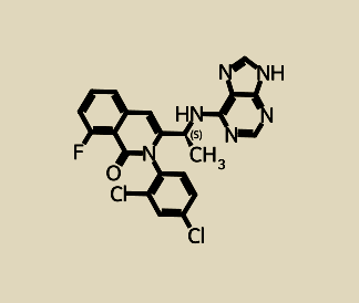 C[C@H](Nc1ncnc2[nH]cnc12)c1cc2cccc(F)c2c(=O)n1-c1ccc(Cl)cc1Cl